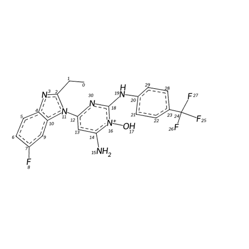 CCc1nc2ccc(F)cc2n1-c1cc(N)[n+](O)c(Nc2ccc(C(F)(F)F)cc2)n1